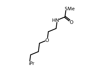 CSC(=O)NCCOCCCC(C)C